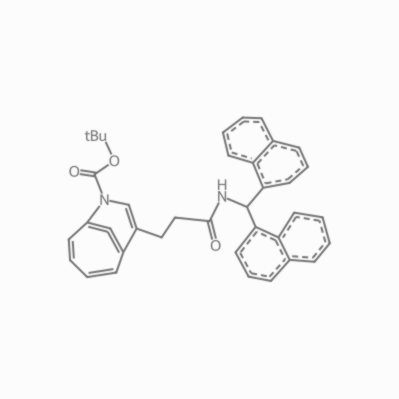 CC(C)(C)OC(=O)N1C=C(CCC(=O)NC(c2cccc3ccccc23)c2cccc3ccccc23)C2=C=C1C=CC=C2